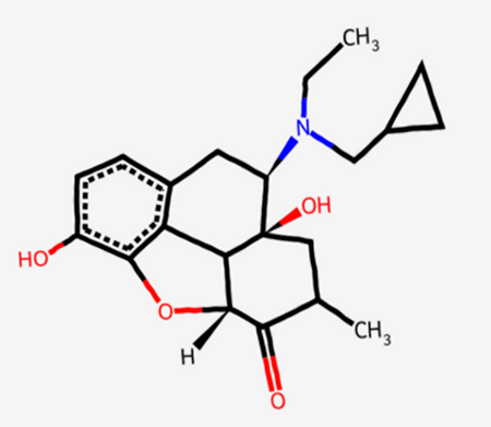 CCN(CC1CC1)[C@@H]1Cc2ccc(O)c3c2C2[C@@H](O3)C(=O)C(C)C[C@]21O